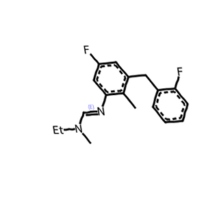 CCN(C)/C=N/c1cc(F)cc(Cc2ccccc2F)c1C